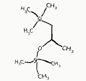 CC(C[Si](C)(C)C)O[Si](C)(C)C